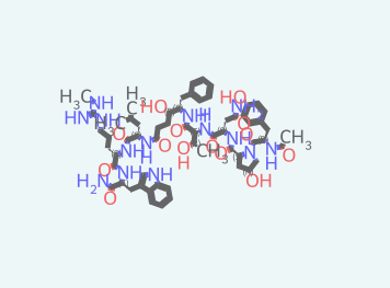 CNC(=N)NCCC[C@H](NC(=O)[C@H](CC(C)C)NC(=O)CC[C@@H](O)[C@H](Cc1ccccc1)NC(=O)[C@@H](NC(=O)[C@H](CC(N)=O)NC(=O)[C@@H]1C[C@@H](O)CN1C(=O)[C@@H](Cc1ccc(O)cc1)NC(C)=O)[C@@H](C)O)C(=O)N[C@@H](Cc1c[nH]c2ccccc12)C(N)=O